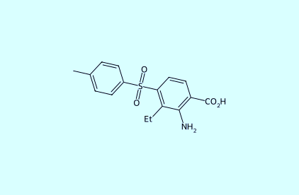 CCc1c(S(=O)(=O)c2ccc(C)cc2)ccc(C(=O)O)c1N